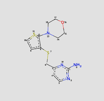 Nc1nccc(CSc2ccsc2N2CCOCC2)n1